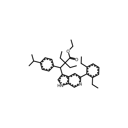 CCOC(=O)C(CC)(CC)C(c1ccc(C(C)C)cc1)c1c[nH]c2cnc(-c3c(CC)cccc3CC)cc12